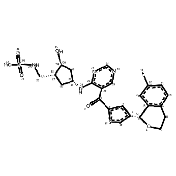 O=C(c1cc([C@H]2OCCc3ccc(F)cc32)cs1)c1cncnc1N[C@@H]1C[C@H](CNS(=O)(=O)O)[C@@H](O)C1